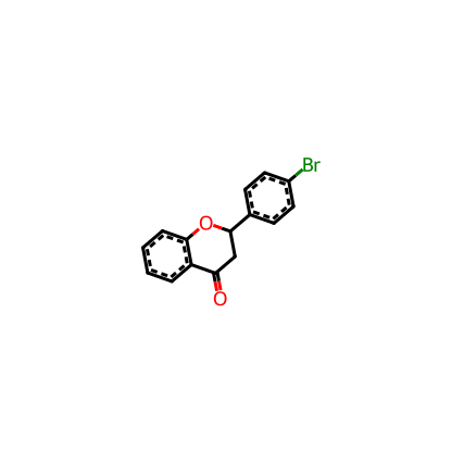 O=C1CC(c2ccc(Br)cc2)Oc2ccccc21